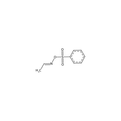 CC=NOS(=O)(=O)c1ccccc1